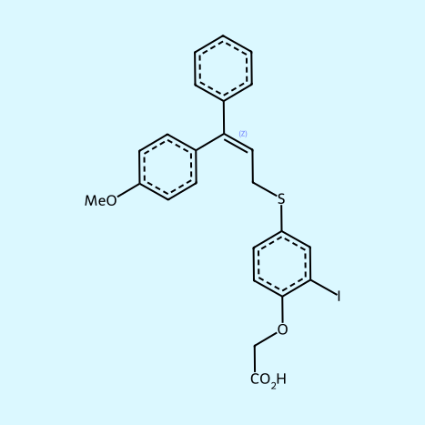 COc1ccc(/C(=C\CSc2ccc(OCC(=O)O)c(I)c2)c2ccccc2)cc1